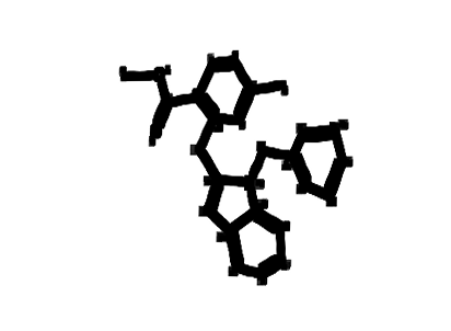 COC(=O)c1ccc(C)cc1Cc1cc2ccccc2n1Cc1cccnc1